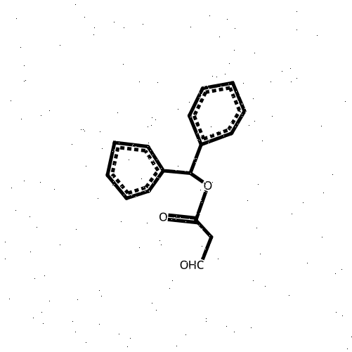 O=CCC(=O)OC(c1ccccc1)c1ccccc1